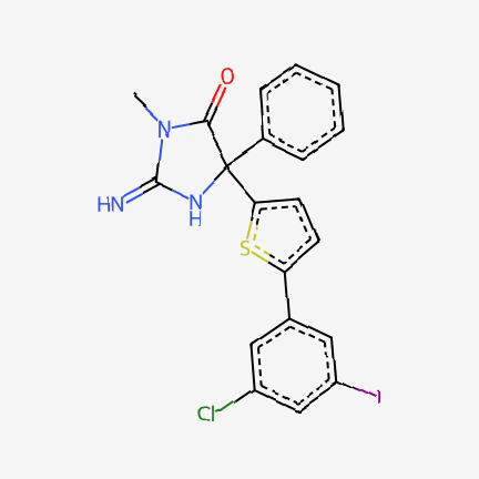 CN1C(=N)NC(c2ccccc2)(c2ccc(-c3cc(Cl)cc(I)c3)s2)C1=O